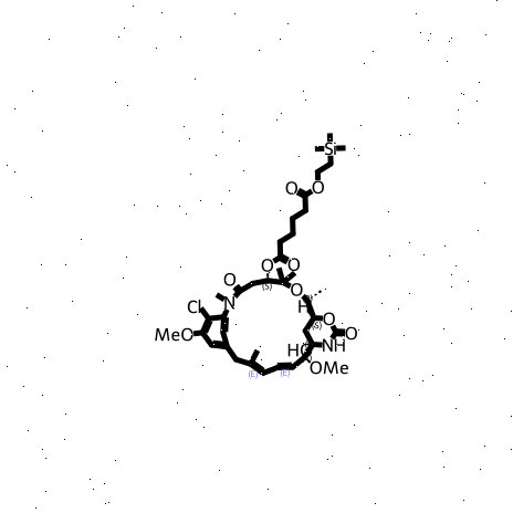 COc1cc2cc(c1Cl)N(C)C(=O)C[C@H](OC(=O)CCCCC(=O)OCC[Si](C)(C)C)C(C)(C)O[C@H](C)[C@@H]1C[C@@](O)(NC(=O)O1)[C@H](OC)/C=C/C=C(\C)C2